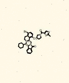 Cc1ncc(C(=O)N2CC[C@H](Oc3ccc(Br)c4c3[C@@H](CN3Cc5ccccc5C3=O)N(C(=O)C3CCCCC3)CC4)C2)s1